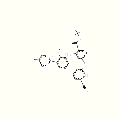 [2H]C([2H])([2H])NC(=O)c1nnc(Nc2cccc(C#N)n2)cc1Nc1cccc(-c2ncc(F)cn2)c1OC